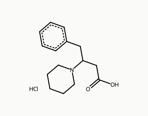 Cl.O=C(O)CC(Cc1ccccc1)N1CCCCC1